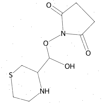 O=C1CCC(=O)N1OC(O)C1CSCCN1